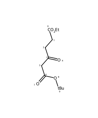 CCOC(=O)CCC(=O)CC(=O)OC(C)(C)C